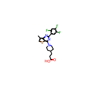 Cc1csc2c(N3CCC(CCC(=O)O)CC3)nc(-c3cc(F)c(F)cc3F)nc12